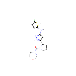 CN(c1cc(C2CCCN2C(=O)N2CCOCC2)n[nH]1)c1ccc(Cl)s1